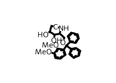 COc1cccc(C(OCC2NCCC(O)C2O)(c2ccccc2)c2ccccc2)c1OC